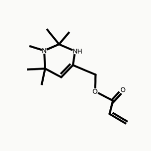 C=CC(=O)OCC1=CC(C)(C)N(C)C(C)(C)N1